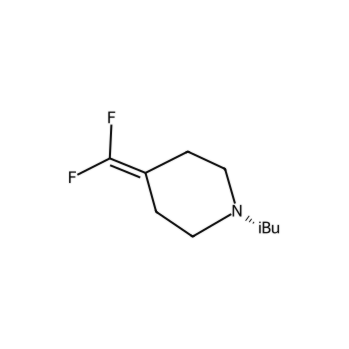 CC[C@@H](C)N1CCC(=C(F)F)CC1